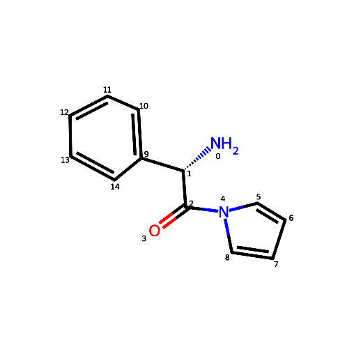 N[C@H](C(=O)n1cccc1)c1ccccc1